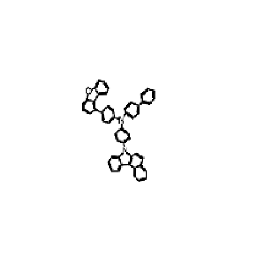 c1ccc(-c2ccc(N(c3ccc(-c4cccc5oc6ccccc6c45)cc3)c3ccc(-n4c5ccccc5c5c6ccccc6ccc54)cc3)cc2)cc1